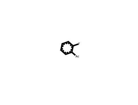 CC(=O)c1c[c]ccc1F